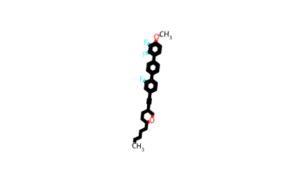 CCCCCC1CCC(C#Cc2ccc(-c3ccc(-c4ccc(OC)c(F)c4F)cc3)c(F)c2)CO1